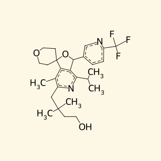 Cc1c(CC(C)(C)CCO)nc(C(C)C)c2c1C1(CCOCC1)OC2c1ccc(C(F)(F)F)nc1